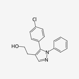 OCCc1cnn(-c2ccccc2)c1-c1ccc(Cl)cc1